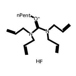 C=CCN(CC=C)C(=[O+]CCCCC)N(CC=C)CC=C.F